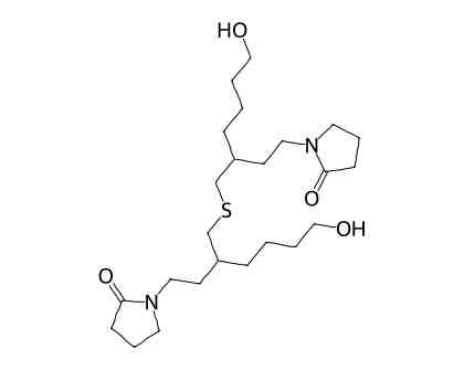 O=C1CCCN1CCC(CCCCO)CSCC(CCCCO)CCN1CCCC1=O